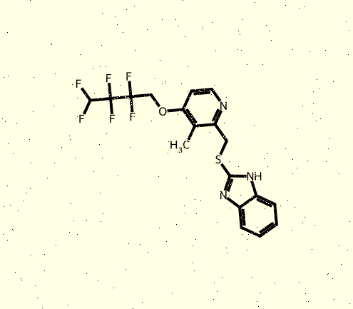 Cc1c(OCC(F)(F)C(F)(F)C(F)F)ccnc1CSc1nc2ccccc2[nH]1